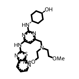 COCCN(CCOC)Cc1cc(Nc2nc3cccnc3s2)nc(N[C@H]2CC[C@H](O)CC2)n1